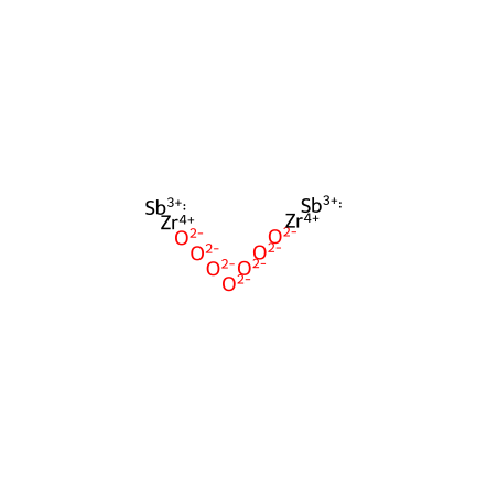 [O-2].[O-2].[O-2].[O-2].[O-2].[O-2].[O-2].[Sb+3].[Sb+3].[Zr+4].[Zr+4]